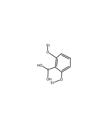 CCOc1cccc(OCC)c1B(O)O